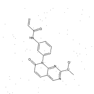 C=CC(=O)Nc1cccc(-n2c(=O)ccc3cnc([S+](C)[O-])nc32)c1